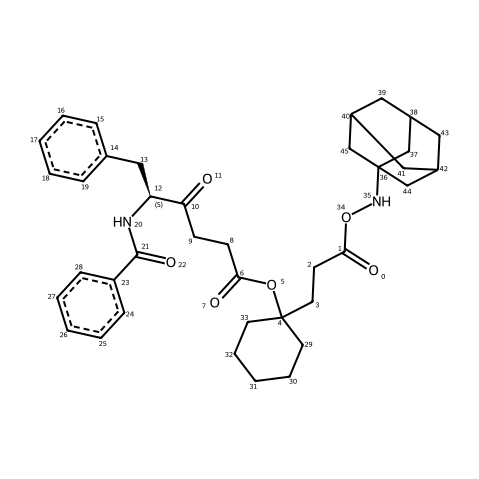 O=C(CCC1(OC(=O)CCC(=O)[C@H](Cc2ccccc2)NC(=O)c2ccccc2)CCCCC1)ONC12CC3CC(CC(C3)C1)C2